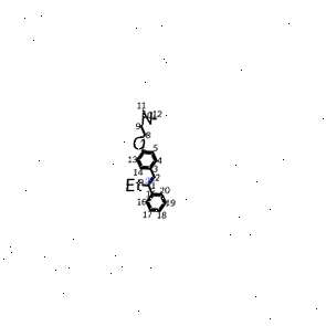 CC/C(=C\c1ccc(OCCN(C)C)cc1)c1ccccc1